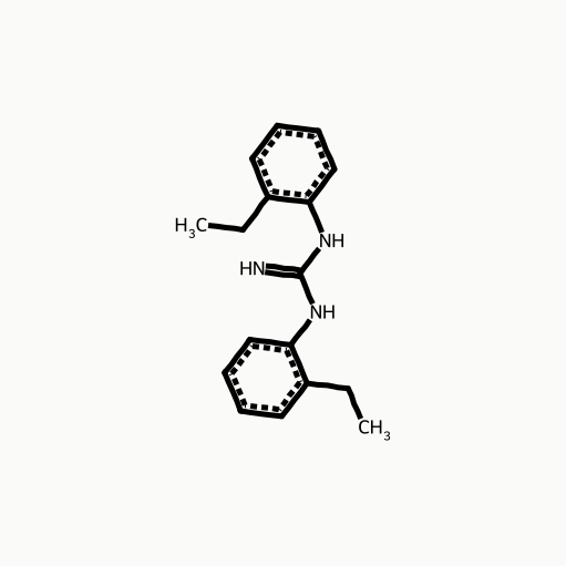 CCc1ccccc1NC(=N)Nc1ccccc1CC